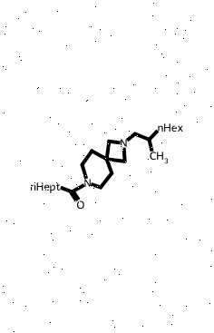 CCCCCCCC(=O)N1CCC2(CC1)CN(CC(C)CCCCCC)C2